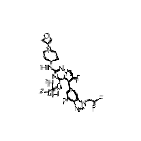 [2H]C([2H])([2H])Oc1nc(NC2CCN(C3COC3)CC2)nn2cc(F)c(-c3cc(F)c4ncn(CC(F)F)c4c3)c12